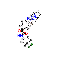 CCN1CC2CCC(C1)N2c1nc2ccc(S(=O)(=O)NC3CCC(F)(F)CC3)cc2s1